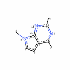 Cc1nc(C)c2ccn(C)c2n1